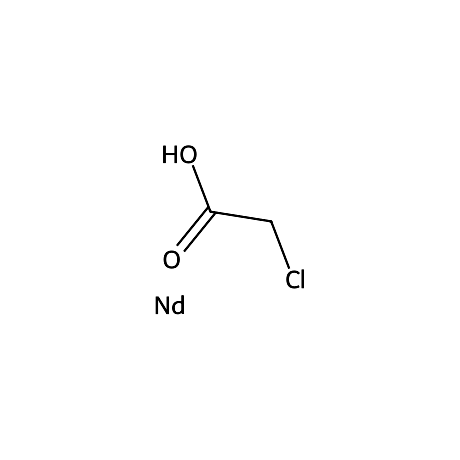 O=C(O)CCl.[Nd]